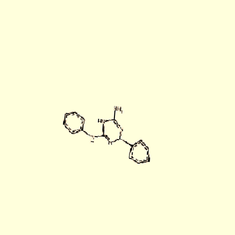 NC1=N[C@@H](c2ccccc2)N=C(Nc2ccccc2)N1